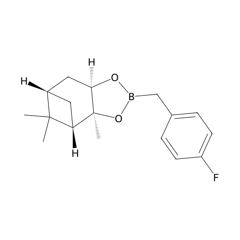 CC1(C)[C@@H]2C[C@H]3OB(Cc4ccc(F)cc4)O[C@@]3(C)[C@H]1C2